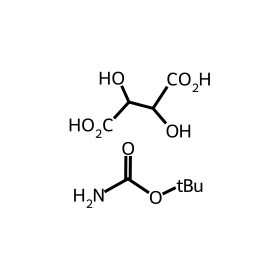 CC(C)(C)OC(N)=O.O=C(O)C(O)C(O)C(=O)O